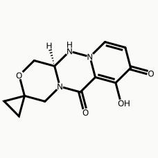 O=C1c2c(O)c(=O)ccn2N[C@@H]2COC3(CC3)CN12